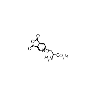 NC(CO)C(=O)O.O=C1OC(=O)c2ccccc21